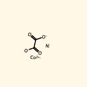 O=C([O-])C(=O)[O-].[Co+2].[N]